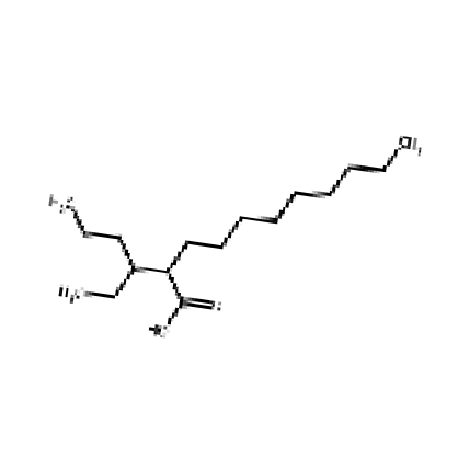 CCCCCCCCCC(C(=O)O)C(CC)CCC